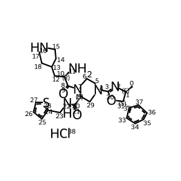 C[C@@H]1N=C(N2CCN(C(=O)[C@H](N)CC3CCNCC3)[C@H](C(=O)NCc3cccs3)C2)O[C@H]1c1ccccc1.Cl